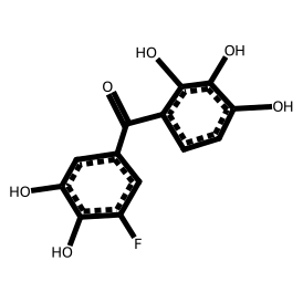 O=C(c1cc(O)c(O)c(F)c1)c1ccc(O)c(O)c1O